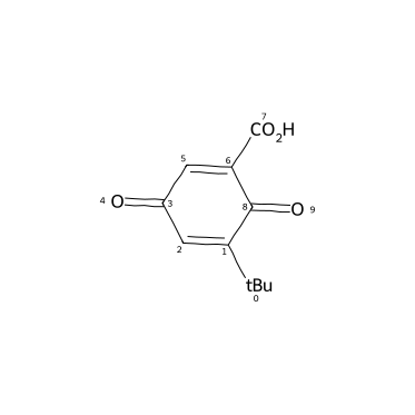 CC(C)(C)C1=CC(=O)C=C(C(=O)O)C1=O